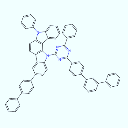 c1ccc(-c2ccc(-c3ccc4c(c3)c3ccc5c(c6ccccc6n5-c5ccccc5)c3n4-c3nc(-c4ccccc4)nc(-c4ccc(-c5cccc(-c6ccccc6)c5)cc4)n3)cc2)cc1